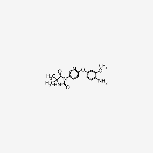 CC1(C)NC(=O)N(c2ccc(Oc3ccc(N)c(OC(F)(F)F)c3)nc2)C1=O